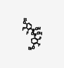 CCOc1ccc(B(O)OB(O)c2ccc(OCC)c(F)c2F)c(F)c1F